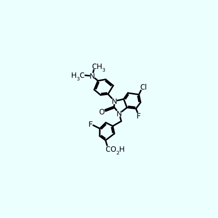 CN(C)c1ccc(-n2c(=O)n(Cc3cc(F)cc(C(=O)O)c3)c3c(F)cc(Cl)cc32)cc1